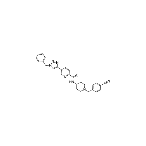 N#Cc1ccc(CN2CCC(NC(=O)c3ccc(-c4cn(Cc5ccccc5)nn4)cn3)CC2)cc1